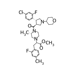 COC(=O)C(Cc1ccc(C)cc1F)N1CCN(C(=O)[C@@H]2CN(C3CCOCC3)C[C@H]2c2ccc(Cl)cc2F)[C@@H](C)C1